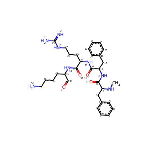 CNC(Cc1ccccc1)C(=O)NC(Cc1ccccc1)C(=O)NC(CCCNC(=N)N)C(=O)NC(C=O)CCCCN